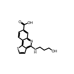 O=C(O)c1ccc2c(c1)nc(NCCCO)c1ccsc12